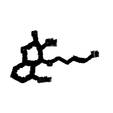 CCC=CCCOc1c(OC(C)=O)c(=O)oc2cccc(OC(C)=O)c12